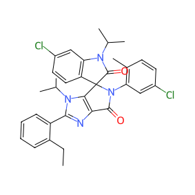 CCc1ccccc1-c1nc2c(n1C(C)C)C1(C(=O)N(C(C)C)c3cc(Cl)ccc31)N(c1cc(Cl)ccc1C)C2=O